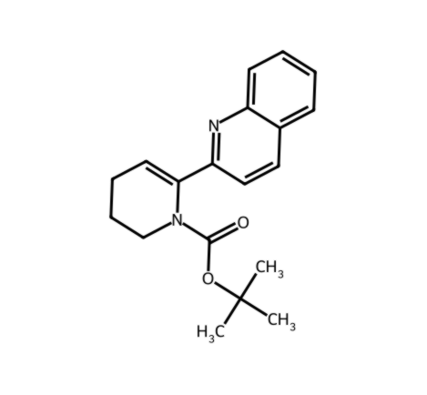 CC(C)(C)OC(=O)N1CCCC=C1c1ccc2ccccc2n1